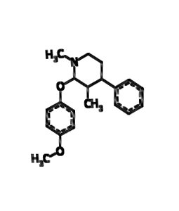 COc1ccc(OC2C(C)C(c3ccccc3)CCN2C)cc1